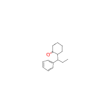 CCC(c1ccccc1)C1CCCCC1=O